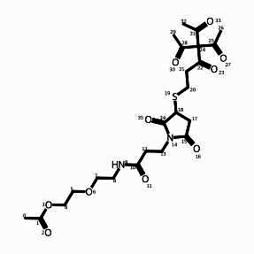 CC(=O)OCCOCCNC(=O)CCN1C(=O)CC(SCCC(=O)C(C(C)=O)(C(C)=O)C(C)=O)C1=O